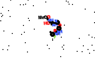 COC(=O)CNC(O)c1c[nH]c(-c2cc(Oc3ccc(NC(=O)Nc4cc(C)ccc4F)cc3)ccn2)c1